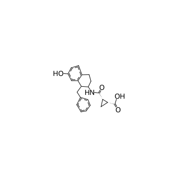 O=C(NC1CCc2ccc(O)cc2C1Cc1ccccc1)[C@H]1C[C@H]1C(=O)O